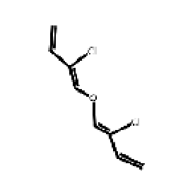 C=CC(Cl)=COC=C(Cl)C=C